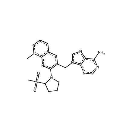 Cc1cccc2cc(Cn3cnc4c(N)ncnc43)c(N3CCCC3S(C)(=O)=O)nc12